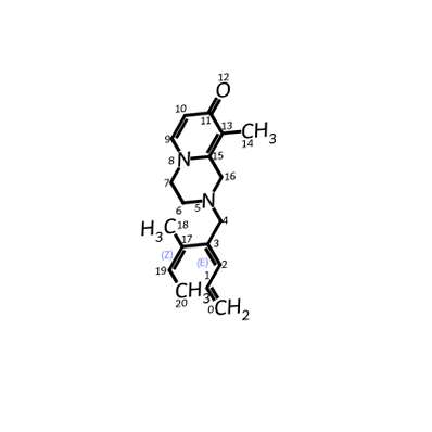 C=C/C=C(CN1CCn2ccc(=O)c(C)c2C1)\C(C)=C/C